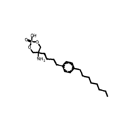 CCCCCCCCc1ccc(CCCCC2(N)COP(=O)(O)OC2)cc1